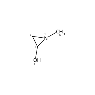 CN1CC1O